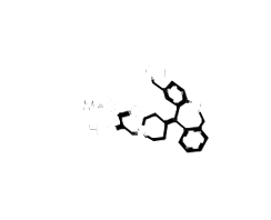 C=C(CN1CCC(=C2c3ccccc3COc3ccc(CO)cc32)CC1)C(=O)OC